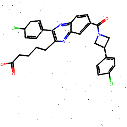 O=C(O)CCCCc1nc2cc(C(=O)N3CC(c4ccc(Cl)cc4)C3)ccc2nc1C1=CCC(Cl)C=C1